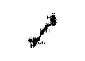 COc1ccc(F)cc1C(C(=O)Nc1nccs1)N1Cc2ccc(C#Cc3ccc(C(=O)NC4CCN(C(=O)CCCNc5cccc6c5C(=O)N(C5CCC(=O)NC5=O)C6=O)CC4)nc3)cc2C1=O